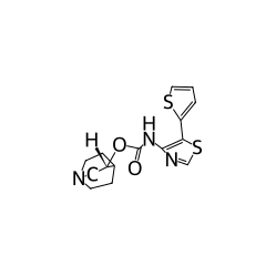 O=C(Nc1ncsc1-c1cccs1)O[C@H]1CN2CCC1CC2